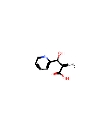 C=C(C(=O)O)C(O)c1ccccn1